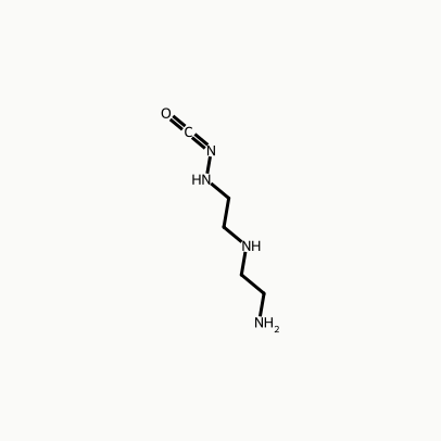 NCCNCCNN=C=O